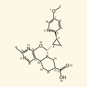 COc1ccc([C@H]2C[C@@H]2COc2nc(C)ncc2C2CCC(C(=O)O)CC2)nc1